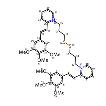 COc1cc(/C=C/c2cccc[n+]2CCCSSCCC[n+]2ccccc2/C=C/c2cc(OC)c(OC)c(OC)c2)cc(OC)c1OC